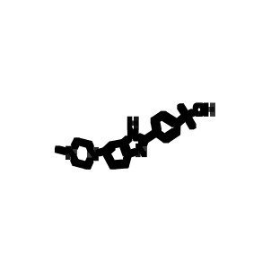 CN1CCN(c2ccc3nc(-c4ccc(C(C)(C)O)cc4)[nH]c3c2)CC1